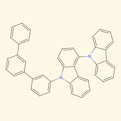 c1ccc(-c2cccc(-c3cccc(-n4c5ccccc5c5c(-n6c7ccccc7c7ccccc76)cccc54)c3)c2)cc1